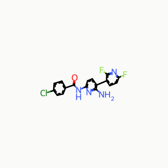 Nc1nc(NC(=O)c2ccc(Cl)cc2)ccc1-c1ccc(F)nc1F